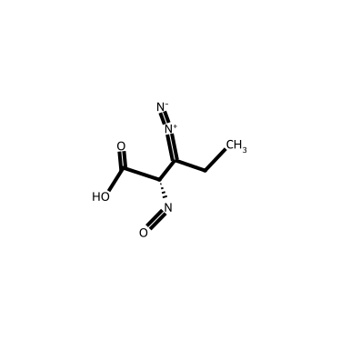 CCC(=[N+]=[N-])[C@H](N=O)C(=O)O